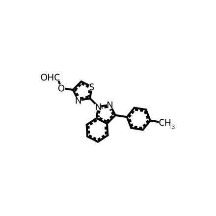 Cc1ccc(-c2nn(-c3nc(OC=O)cs3)c3ccccc23)cc1